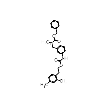 Cc1ccc(CCOC(=O)Nc2cccc(CN(C)C(=O)OCc3ccccc3)c2)c(C)c1